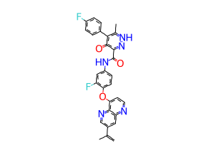 C=C(C)c1cnc2c(Oc3ccc(NC(=O)c4n[nH]c(C)c(-c5ccc(F)cc5)c4=O)cc3F)ccnc2c1